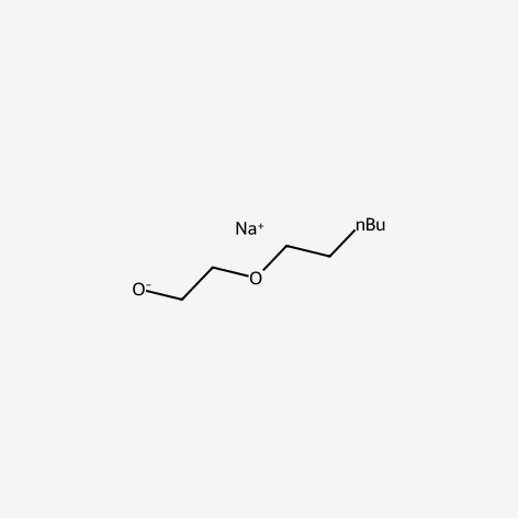 CCCCCCOCC[O-].[Na+]